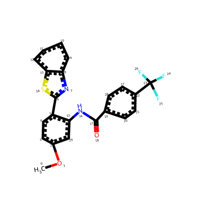 COc1ccc(-c2nc3ccccc3s2)c(NC(=O)c2ccc(C(F)(F)F)cc2)c1